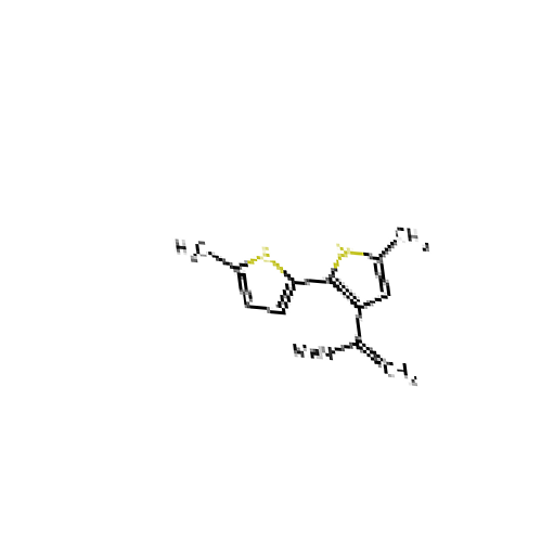 C=C(NC)c1cc(C)sc1-c1ccc(C)s1